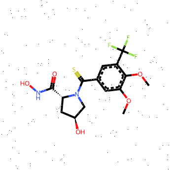 COc1cc(C(=S)N2C[C@@H](O)C[C@@H]2C(=O)NO)cc(C(F)(F)F)c1OC